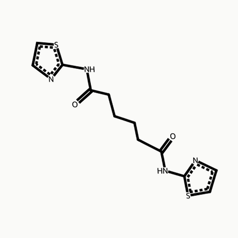 O=C(CCCCC(=O)Nc1nccs1)Nc1nccs1